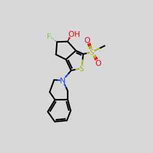 CS(=O)(=O)c1sc(N2CCc3ccccc3C2)c2c1[C@H](O)[C@@H](F)C2